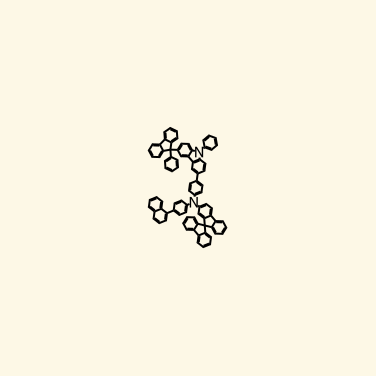 c1ccc(-n2c3ccc(-c4ccc(N(c5ccc(-c6cccc7ccccc67)cc5)c5ccc6c(c5)C5(c7ccccc7-c7ccccc75)c5ccccc5-6)cc4)cc3c3cc(C4(c5ccccc5)c5ccccc5-c5ccccc54)ccc32)cc1